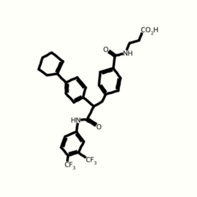 O=C(O)CCNC(=O)c1ccc(CC(C(=O)Nc2ccc(C(F)(F)F)c(C(F)(F)F)c2)c2ccc(C3=CCCCC3)cc2)cc1